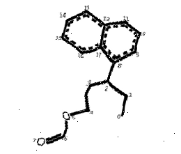 CCC(CCO[C]=O)c1cccc2ccccc12